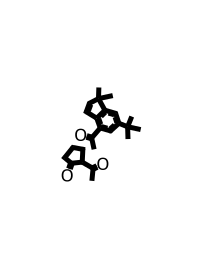 CC(=O)C1CCCC1=O.CC(=O)c1cc(C(C)(C)C)cc2c1C=CC2(C)C